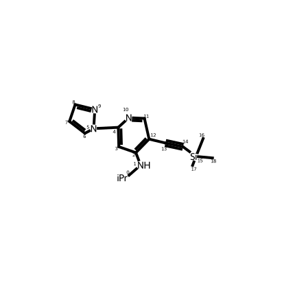 CC(C)Nc1cc(-n2cccn2)ncc1C#C[Si](C)(C)C